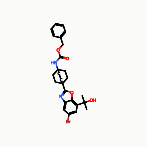 CC(C)(O)c1cc(Br)cc2nc(C34CCC(NC(=O)OCc5ccccc5)(CC3)CC4)oc12